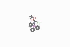 C/C(=C\C[P+](c1ccccc1)(c1ccccc1)c1ccccc1)C1OCC(C)(C)CO1.[Cl-]